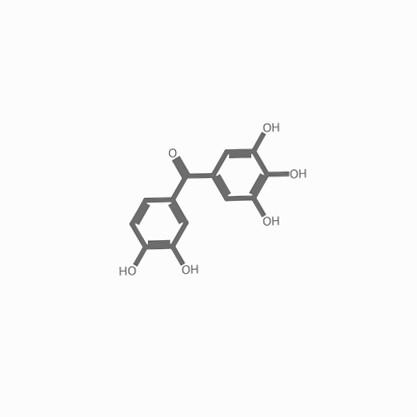 O=C(c1ccc(O)c(O)c1)c1cc(O)c(O)c(O)c1